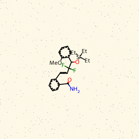 CC[Si](CC)(CC)OC(c1ccccc1OC)C(F)(F)/C=C/c1ccccc1C(N)=O